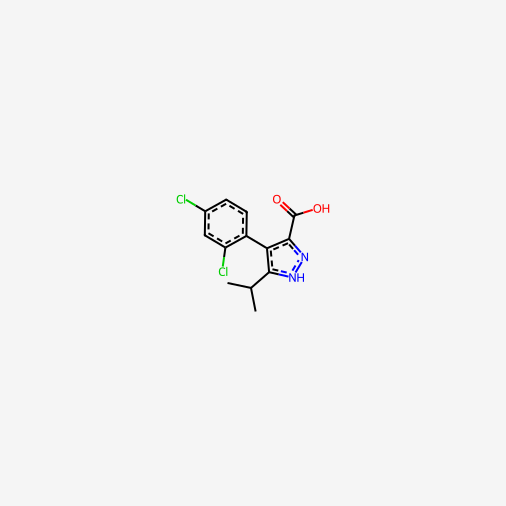 CC(C)c1[nH]nc(C(=O)O)c1-c1ccc(Cl)cc1Cl